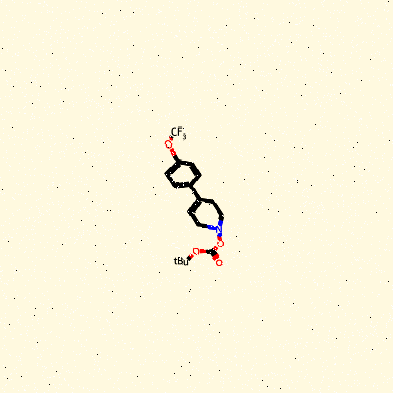 CC(C)(C)OC(=O)ON1CC=C(c2ccc(OC(F)(F)F)cc2)CC1